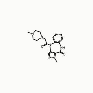 Cc1scc2c1C(=O)Nc1ccccc1N2C(=O)CN1CCN(C)CC1